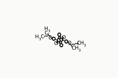 CCCCCC(CC)COc1ccc(-c2c(=O)n3c4ccccc4c4c(-c5ccc(OCC(CC)CCCC)cc5)c(=O)n5c6ccccc6c2c5c43)cc1